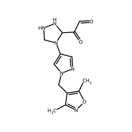 Cc1noc(C)c1Cn1cc(N2CNNC2C(=O)C=O)cn1